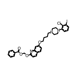 O=C(OCOc1ccc2ccc(OCCCCN3CCN(c4cccc(I)c4Cl)CC3)cc2n1)c1ccccc1